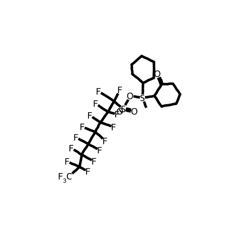 CS(OS(=O)(=O)C(F)(F)C(F)(F)C(F)(F)C(F)(F)C(F)(F)C(F)(F)C(F)(F)C(F)(F)F)(C1CCCCC1)C1CCCCC1=O